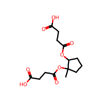 CC1(OC(=O)CCC(=O)O)CCCC1OC(=O)CCC(=O)O